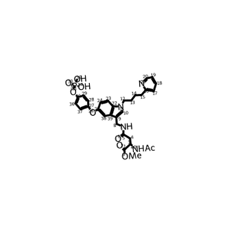 COC(=O)C(CC(=O)NCc1cn(CCCCc2ccccn2)c2ccc(Oc3ccc(OP(=O)(O)O)cc3)cc12)NC(C)=O